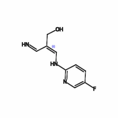 N=C/C(=C\Nc1ccc(F)cn1)CO